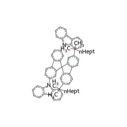 CCCCCCCC(C)(C)c1ccc2c(c1)C1(c3cc(-n4c5ccccc5c5ccccc54)ccc3-c3ccc(-n4c5ccccc5c5ccccc54)cc31)c1cc(C(C)(C)CCCCCCC)ccc1-2